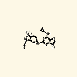 [2H]c1cnc2c(NC3CC3)nc(Nc3ccc4c(c3)c(C#N)nn4C)nn12